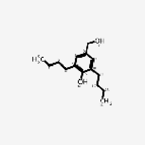 CCCCc1cc(CO)cc(CCCC)c1O